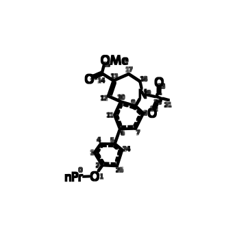 CCCOc1ccc(-c2ccc3c(c2)C=C(C(=O)OC)CCN3S(C)(=O)=O)cc1